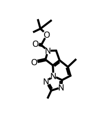 Cc1nc2cc(C)c3c(n2n1)C(=O)N(C(=O)OC(C)(C)C)C3